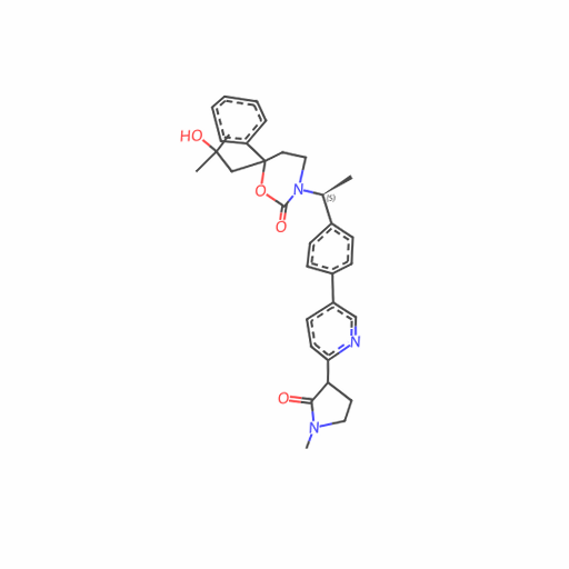 C[C@@H](c1ccc(-c2ccc(C3CCN(C)C3=O)nc2)cc1)N1CCC(CC(C)(C)O)(c2ccccc2)OC1=O